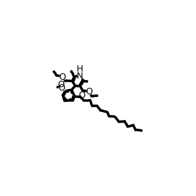 CCCCCCCCCCCCCCCc1cccc(OC)c1C1C(C(=O)OCC)=C(C)NC(C)=C1C(=O)OCC